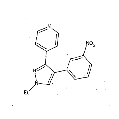 CCn1cc(-c2cccc([N+](=O)[O-])c2)c(-c2ccncc2)n1